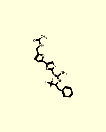 CC(=O)NCc1ccc(-c2csc(N=C(N)NC(Cc3ccccc3)C(F)(F)F)n2)o1